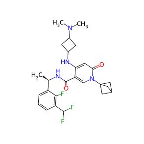 C[C@@H](NC(=O)c1cn(C23CC(C2)C3)c(=O)cc1NC1CC(N(C)C)C1)c1cccc(C(F)F)c1F